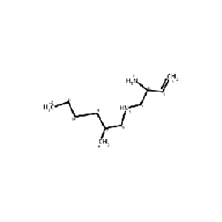 C=CC(N)CNCC(C)CCCC